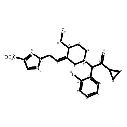 CCOC(=O)c1cnn(C/C=C2/CN(C(C(=O)C3CC3)c3ccccc3F)CCC2SC(C)=O)n1